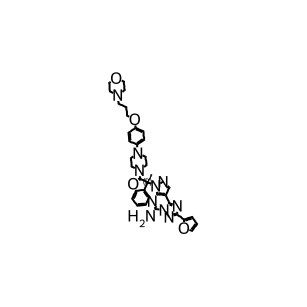 C[C@](C(=O)N1CCN(c2ccc(OCCCN3CCOCC3)cc2)CC1)(c1ccccc1)n1ncc2c1nc(N)n1nc(-c3ccco3)nc21